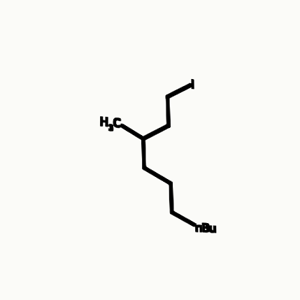 CCCCCCCC(C)CCI